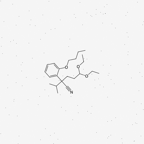 CCCCOc1ccccc1C(C#N)(CCC(OCC)OCC)C(C)C